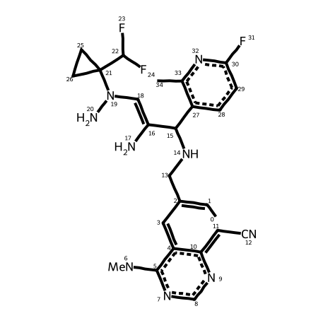 C\C=C(/C=c1/c(NC)ncn/c1=C\C#N)CNC(/C(N)=C/N(N)C1(C(F)F)CC1)c1ccc(F)nc1C